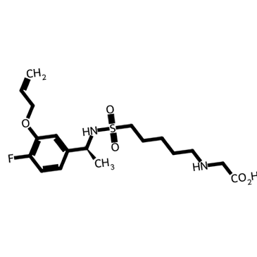 C=CCOc1cc([C@H](C)NS(=O)(=O)CCCCCNCC(=O)O)ccc1F